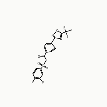 O=C(CS(=O)(=O)c1ccc(F)c(F)c1)c1ccc(-c2noc(C(F)(F)F)n2)cc1